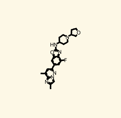 Cc1cn2nc(-c3cc(F)c4nc(NC5CCN(C6CCOC6)CC5)oc4c3)cc(C)c2n1